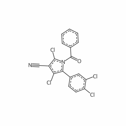 N#Cc1c(Cl)c(-c2ccc(Cl)c(Cl)c2)n(C(=O)c2ccccc2)c1Cl